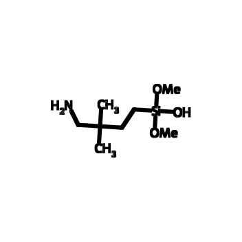 CO[Si](O)(CCC(C)(C)CN)OC